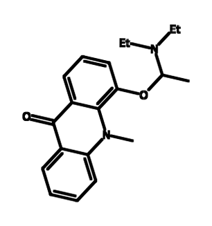 CCN(CC)C(C)Oc1cccc2c(=O)c3ccccc3n(C)c12